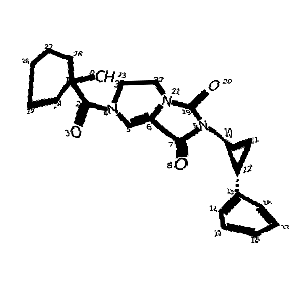 CC1(C(=O)N2C=C3C(=O)N([C@H]4C[C@@H]4c4ccccc4)C(=O)N3CC2)CCCCC1